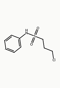 O=S(=O)(CCCCl)Nc1cc[c]cc1